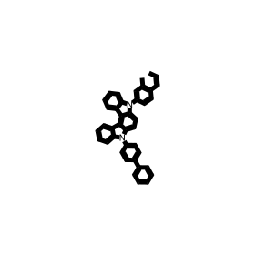 C/C=C\c1ccc(-n2c3ccccc3c3c4c5ccccc5n(-c5ccc(-c6ccccc6)cc5)c4ccc32)cc1C